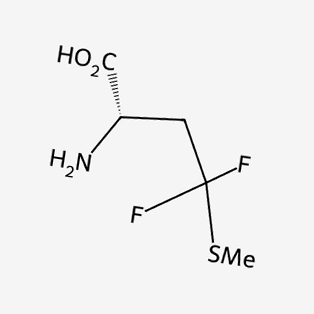 CSC(F)(F)C[C@H](N)C(=O)O